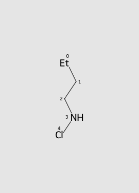 CCCCNCl